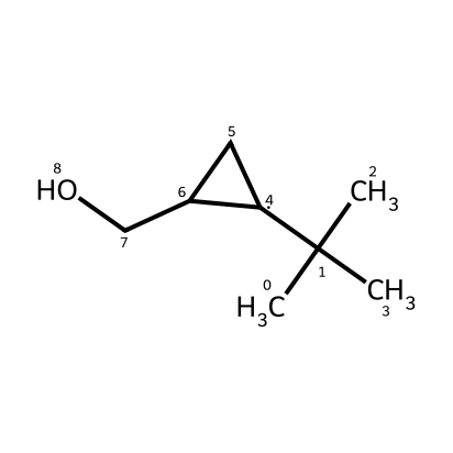 CC(C)(C)[C]1CC1CO